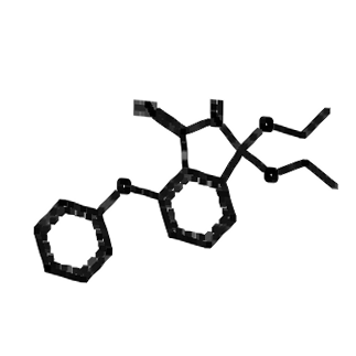 CCOC1(OCC)NC(=N)c2c(Oc3ccccc3)cccc21